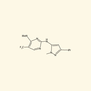 CNc1nc(Nc2cc(C(C)C)nn2C)ncc1C(F)(F)F